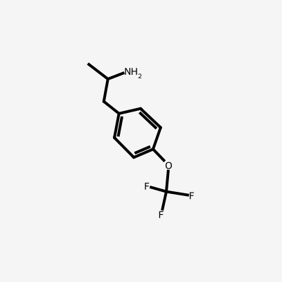 CC(N)Cc1ccc(OC(F)(F)F)cc1